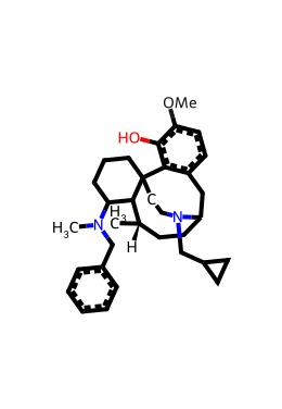 COc1ccc2c(c1O)C13CCCC(N(C)Cc4ccccc4)C1[C@@H](C)CCC(C2)N(CC1CC1)CC3